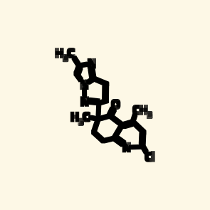 Cc1cn2nc(C3(C)CCc4nc(Cl)cc(C)c4C3=O)ccc2n1